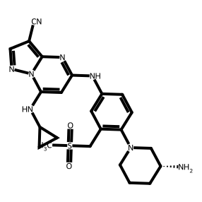 CS(=O)(=O)Cc1cc(Nc2cc(NC3CC3)n3ncc(C#N)c3n2)ccc1N1CCC[C@@H](N)C1